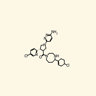 Nc1ccc(N2CC(C(=O)N3CCCC(C4=CCC(Cl)CC4)NCC3)[C@H](c3ccc(Cl)cn3)C2)nn1